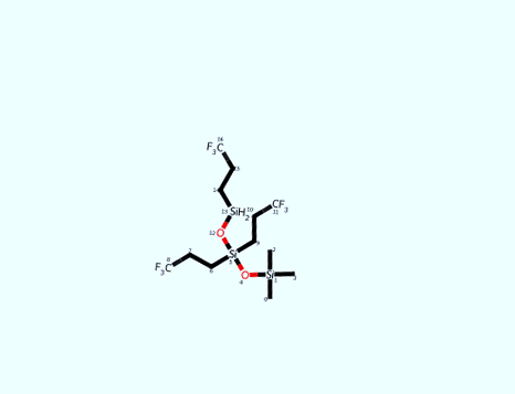 C[Si](C)(C)O[Si](CCC(F)(F)F)(CCC(F)(F)F)O[SiH2]CCC(F)(F)F